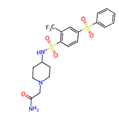 NC(=O)CN1CCC(NS(=O)(=O)c2ccc(S(=O)(=O)c3ccccc3)cc2C(F)(F)F)CC1